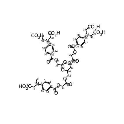 CN(CC(=O)O)c1ccc(C(=O)OCC(=O)OCC(COC(=O)COC(=O)c2ccc(N(CC(=O)O)CC(=O)O)cc2)OC(=O)COC(=O)c2ccc(N(CC(=O)O)CC(=O)O)cc2)cc1